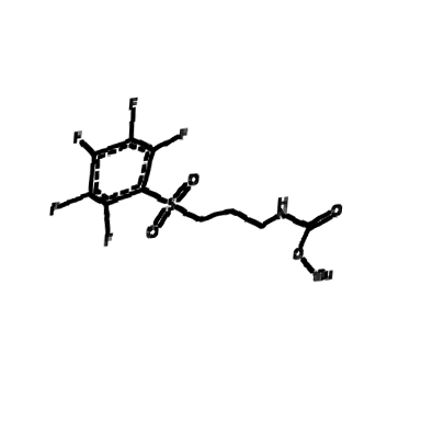 CC(C)(C)OC(=O)NCCCS(=O)(=O)c1c(F)c(F)c(F)c(F)c1F